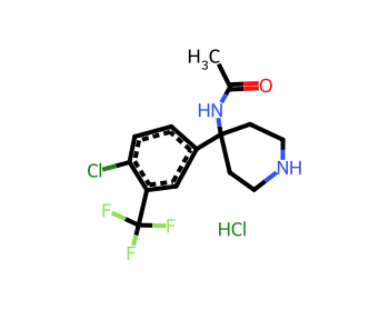 CC(=O)NC1(c2ccc(Cl)c(C(F)(F)F)c2)CCNCC1.Cl